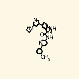 Cc1cccc(-c2ccc(NC(=O)c3n[nH]c4ccc(-c5cncc(N6CCCC6)c5)cc34)cn2)c1